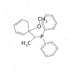 COC1(C(C)P(c2ccccc2)c2ccccc2)C=CC=CC1